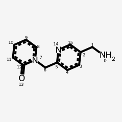 NCc1ccc(Cn2ccccc2=O)nc1